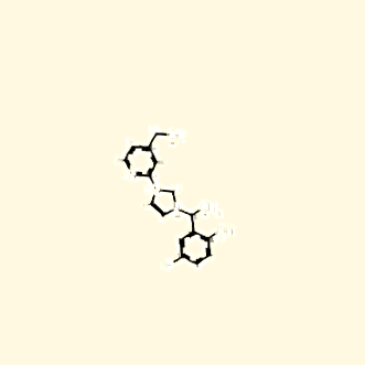 CC(c1cc(F)ccc1O)N1C=CN(c2cc(CO)ccn2)C1